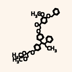 CCC(=C(c1ccc(OCC(=O)c2ccc(OCc3ccccc3)c(OC)c2)cc1)c1ccc(OCC2COC(C)(C)O2)cc1)c1ccccc1